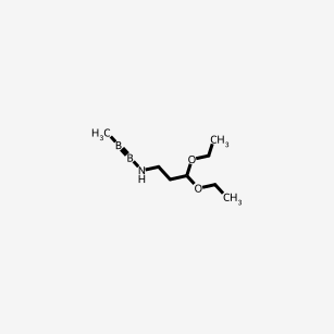 CB=BNCCC(OCC)OCC